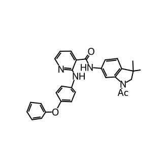 CC(=O)N1CC(C)(C)c2ccc(NC(=O)c3cccnc3Nc3ccc(Oc4ccccc4)cc3)cc21